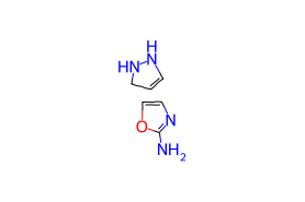 C1=CNNC1.Nc1ncco1